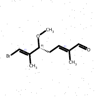 CO[C@H](C/C=C(\C)C=O)/C(C)=C/Br